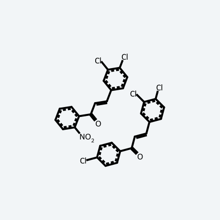 O=C(/C=C/c1ccc(Cl)c(Cl)c1)c1ccc(Cl)cc1.O=C(/C=C/c1ccc(Cl)c(Cl)c1)c1ccccc1[N+](=O)[O-]